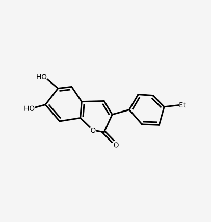 CCc1ccc(-c2cc3cc(O)c(O)cc3oc2=O)cc1